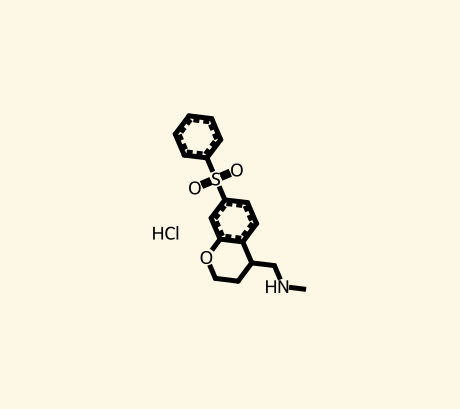 CNCC1CCOc2cc(S(=O)(=O)c3ccccc3)ccc21.Cl